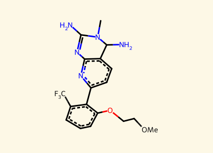 COCCOc1cccc(C(F)(F)F)c1-c1ccc2c(n1)N=C(N)N(C)C2N